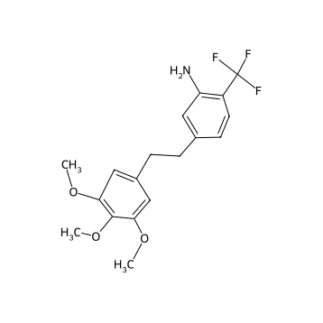 COc1cc(CCc2ccc(C(F)(F)F)c(N)c2)cc(OC)c1OC